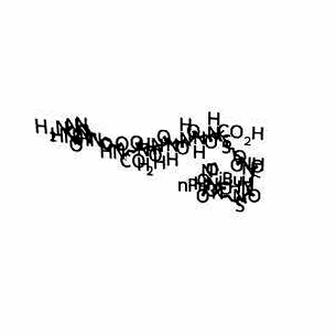 CCCC(=O)OCN(CCCc1nc(C(=O)NCC[C@H](C)C(=O)NNC(=O)OCCSSC[C@@H](NC(=O)CNC(=O)CNC(=O)CNC(=O)CNC(=O)CNC(=O)CC[C@@H](NC(=O)c2ccc(NCc3cnc4nc(N)[nH]c(=O)c4n3)cc2)C(=O)O)C(=O)O)cs1)C(=O)[C@@H](NC(=O)[C@H]1CCCCN1C)C(C)CC